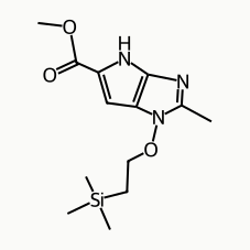 COC(=O)c1cc2c(nc(C)n2OCC[Si](C)(C)C)[nH]1